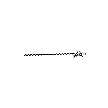 CCCCCCCCCCCCCCCCCCCCCCCCCCCCCCCCCC/C=C/N1C(=O)CC([S+]([O-])CC(C)O)C1=O